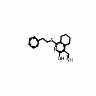 N=Cc1c(O)nc(SCCc2ccccc2)c2c1CCCC2